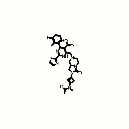 CC(=O)N(C)C12CC(N3CC4CN(CC5=C(C(=O)O)C(c6cccc(F)c6C)N=C(c6nccs6)N5)CCN4C3=O)(C1)C2